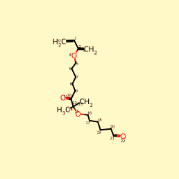 C=CC(=C)OCCCCCC(=O)C(C)(C)OCCCCCC=O